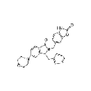 O=C1c2ccc(N3CCOCC3)cc2C(Cc2ccccc2)N1Cc1ccc2[nH]c(=O)oc2c1